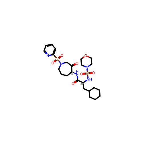 O=C1CN(S(=O)(=O)c2ccccn2)CCC[C@@H]1NC(=O)[C@H](CC1CCCCC1)NS(=O)(=O)N1CCOCC1